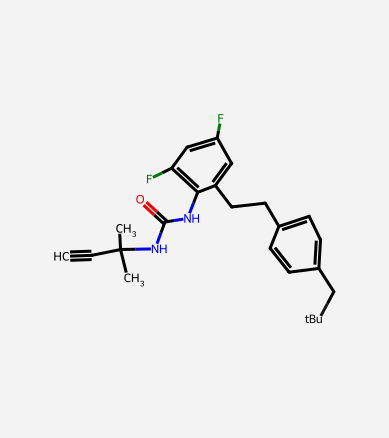 C#CC(C)(C)NC(=O)Nc1c(F)cc(F)cc1CCc1ccc(CC(C)(C)C)cc1